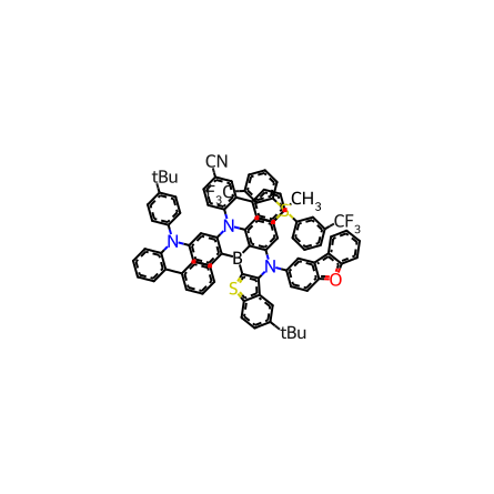 CC(C)(C)c1ccc(N(c2ccc3c(c2)N(c2ccc(C#N)cc2-c2ccccc2)c2cc(S(C)(c4cccc(C(F)(F)F)c4)c4cccc(C(F)(F)F)c4)cc4c2B3c2sc3ccc(C(C)(C)C)cc3c2N4c2ccc3oc4ccccc4c3c2)c2ccccc2-c2ccccc2)cc1